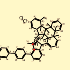 CCCC1=Cc2c(-c3ccc(-c4ccccc4)cc3)cccc2C1C1=CC=CC2(C)C3(C)C=CC=CC3(C)C3(C)C4(C)C(C)=CC=CC4[CH]([Zr+2][SiH](C)C)C3(C)C12C.[Cl-].[Cl-]